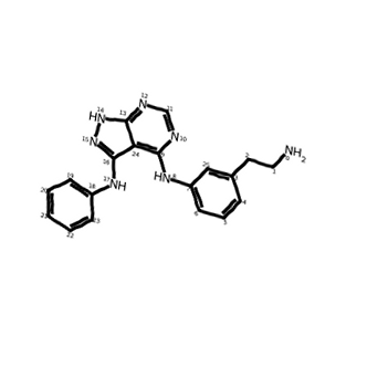 NCCc1cccc(Nc2ncnc3[nH]nc(Nc4ccccc4)c23)c1